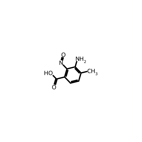 Cc1ccc(C(=O)O)c(N=O)c1N